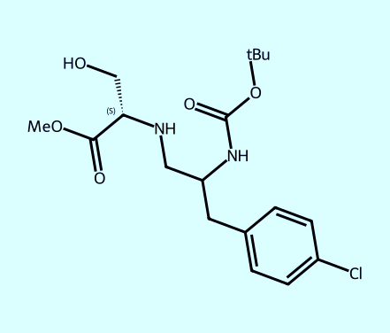 COC(=O)[C@H](CO)NCC(Cc1ccc(Cl)cc1)NC(=O)OC(C)(C)C